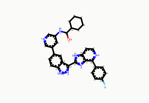 OC(Nc1cncc(-c2ccc3[nH]nc(-c4nc5c(-c6ccc(F)cc6)nccc5[nH]4)c3c2)c1)C1CCCCC1